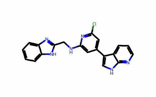 Clc1cc(-c2c[nH]c3ncccc23)cc(NCc2nc3ccccc3[nH]2)n1